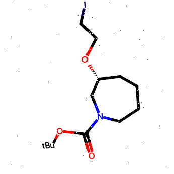 CC(C)(C)OC(=O)N1CCCC[C@@H](OCCI)C1